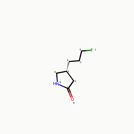 O=C1C[C@@H](CCCF)CN1